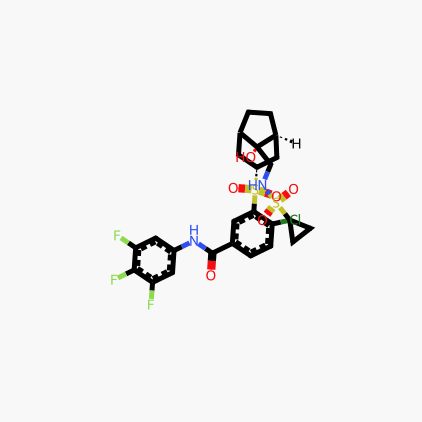 O=C(Nc1cc(F)c(F)c(F)c1)c1ccc(Cl)c(S(=O)(=O)[C@@H]2CC3CC[C@@H](C2)[C@@]3(O)CNS(=O)(=O)C2CC2)c1